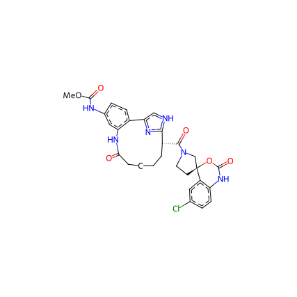 COC(=O)Nc1ccc2c(c1)NC(=O)CCCC[C@@H](C(=O)N1CC[C@@]3(C1)OC(=O)Nc1ccc(Cl)cc13)c1nc-2c[nH]1